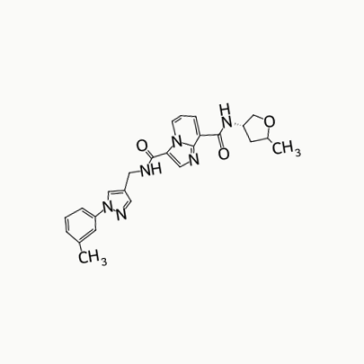 Cc1cccc(-n2cc(CNC(=O)c3cnc4c(C(=O)N[C@@H]5COC(C)C5)cccn34)cn2)c1